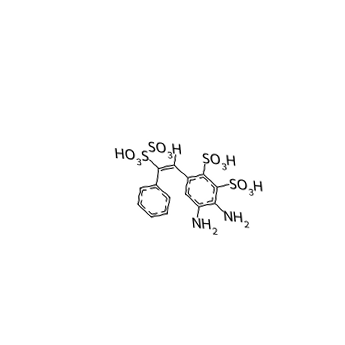 Nc1cc(C(=C(c2ccccc2)S(=O)(=O)O)S(=O)(=O)O)c(S(=O)(=O)O)c(S(=O)(=O)O)c1N